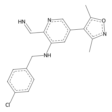 Cc1noc(C)c1-c1cnc(C=N)c(NCc2ccc(Cl)cc2)c1